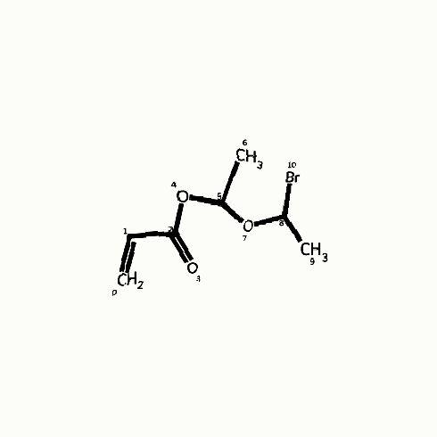 C=CC(=O)OC(C)OC(C)Br